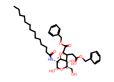 CCCCCCCCCCCCCC(=O)N[C@@H]1[C@@H](O)[C@@](O)(C(CC(=O)OCc2ccccc2)CC(=O)OCc2ccccc2)[C@@H](CO)O[C@@H]1O